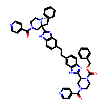 O=C(c1ccncc1)N1CCN(C(=O)OCc2ccccc2)C(c2nc3ccc(CCc4ccc5[nH]c(C6(Cc7ccccc7)CN(C(=O)c7ccncc7)CCN6C(=O)O)nc5c4)cc3[nH]2)C1